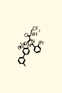 Cc1cccc(-c2ccc(-n3cc(C(=O)NCC(F)(F)F)nc3-c3ccccc3C(C)C)c(S(C)(=O)=O)c2)c1